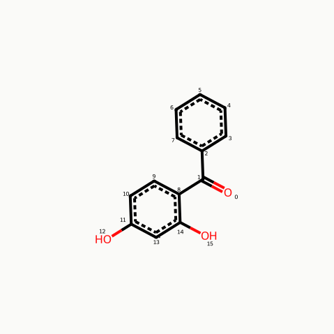 O=C(c1ccccc1)c1ccc(O)[c]c1O